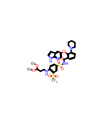 CCOC(CCNc1ccc(S(=O)(=O)NC(=O)c2cccc(N3CCCCC3)c2Oc2cnc3[nH]ccc3c2)cc1S(=O)(=O)C(F)(F)F)OCC